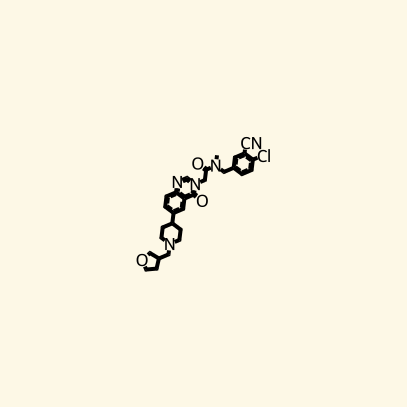 CN(Cc1ccc(Cl)c(C#N)c1)C(=O)Cn1cnc2ccc(C3CCN(CC4CCOC4)CC3)cc2c1=O